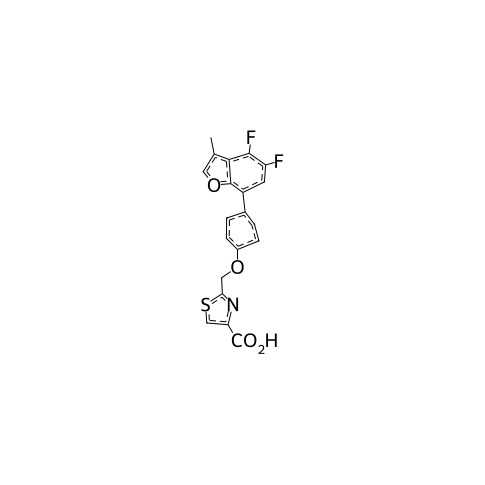 Cc1coc2c(-c3ccc(OCc4nc(C(=O)O)cs4)cc3)cc(F)c(F)c12